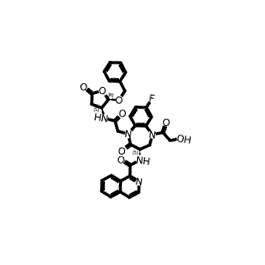 O=C(CN1C(=O)[C@@H](NC(=O)c2nccc3ccccc23)CN(C(=O)CO)c2cc(F)ccc21)N[C@H]1CC(=O)O[C@H]1OCc1ccccc1